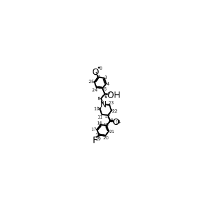 COc1ccc(C(O)CN2CCC(C(=O)c3ccc(F)cc3)CC2)cc1